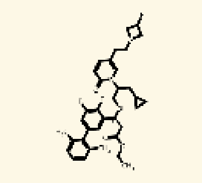 CCOC(=O)C[C@H](NCC(CC1CC1)n1cc(CCN2CC(F)C2)ccc1=O)c1cc(-c2c(C)cccc2C)cc(F)c1F